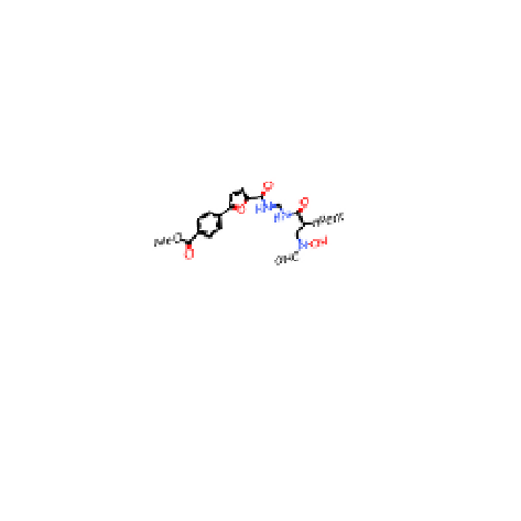 CCCCCC(CN(O)C=O)C(=O)NCNC(=O)c1ccc(-c2ccc(C(=O)OC)cc2)o1